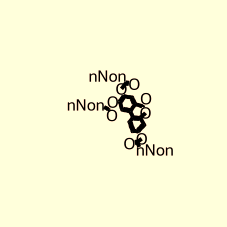 CCCCCCCCCC(=O)Oc1ccc2c(c1)oc(=O)c1cc(OC(=O)CCCCCCCCC)c(OC(=O)CCCCCCCCC)cc12